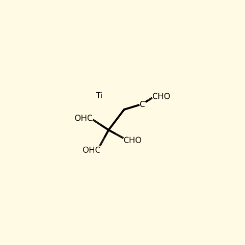 O=CCCC(C=O)(C=O)C=O.[Ti]